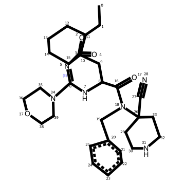 CCOC(=O)/N=C(\NC(CC1CCCCC1)C(=O)N(Cc1ccccc1)C1(C#N)CCNCC1)N1CCOCC1